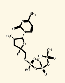 C[C@H]1C[C@@](F)(COP(=O)(O)OP(=O)(O)OP(=O)(O)O)O[C@H]1n1ccc(N)nc1=O